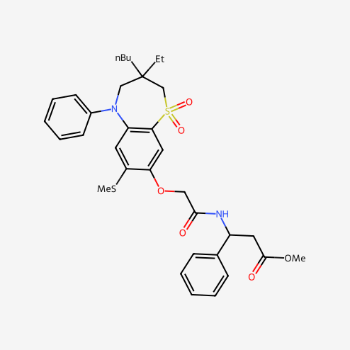 CCCCC1(CC)CN(c2ccccc2)c2cc(SC)c(OCC(=O)NC(CC(=O)OC)c3ccccc3)cc2S(=O)(=O)C1